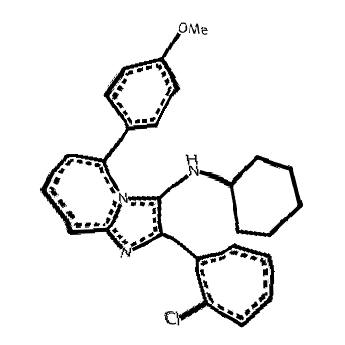 COc1ccc(-c2cccc3nc(-c4ccccc4Cl)c(NC4CCCCC4)n23)cc1